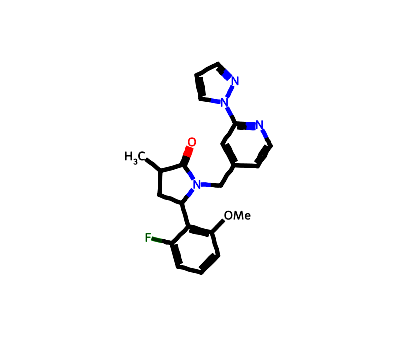 COc1cccc(F)c1C1CC(C)C(=O)N1Cc1ccnc(-n2cccn2)c1